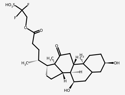 C[C@H](CCC(=O)OCC(F)(F)S(=O)(=O)O)[C@H]1CC[C@H]2[C@@H]3[C@H](O)CC4C[C@H](O)CC[C@]4(C)[C@H]3CC(=O)[C@]12C